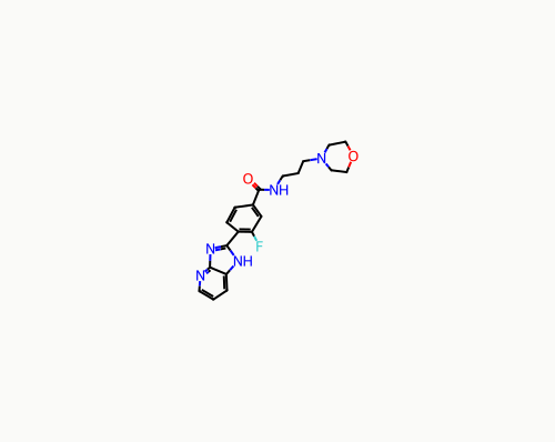 O=C(NCCCN1CCOCC1)c1ccc(-c2nc3ncccc3[nH]2)c(F)c1